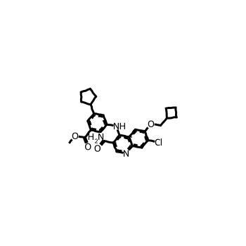 COC(=O)c1cc(Nc2c(C(N)=O)cnc3cc(Cl)c(OCC4CCC4)cc23)cc(C2CCCC2)c1